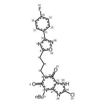 CCCCn1c(=O)n(CCCc2nc(-c3ccc(F)cc3)no2)c(=O)c2[nH]c(Cl)nc21